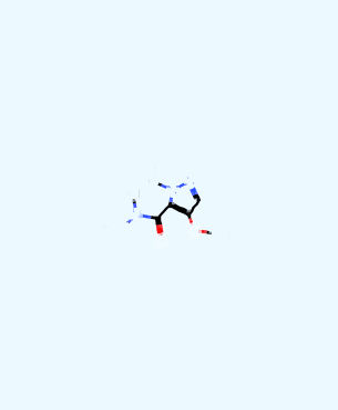 COc1cnn(C)c1C(=O)N(C)C